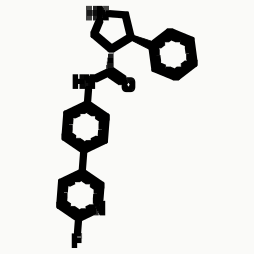 O=C(Nc1ccc(-c2ccc(F)nc2)cc1)[C@@H]1CNC[C@H]1c1ccccc1